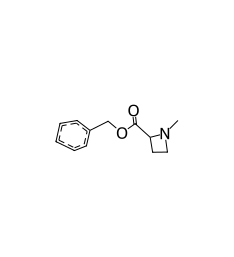 CN1CCC1C(=O)OCc1ccccc1